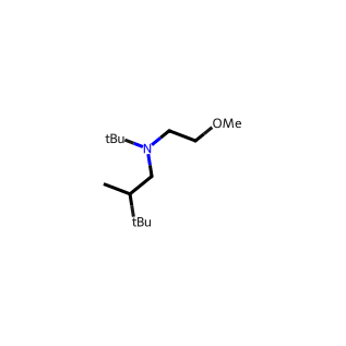 COCCN(CC(C)C(C)(C)C)C(C)(C)C